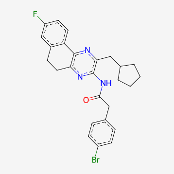 O=C(Cc1ccc(Br)cc1)Nc1nc2c(nc1CC1CCCC1)-c1ccc(F)cc1CC2